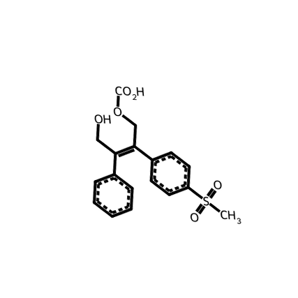 CS(=O)(=O)c1ccc(/C(COC(=O)O)=C(/CO)c2ccccc2)cc1